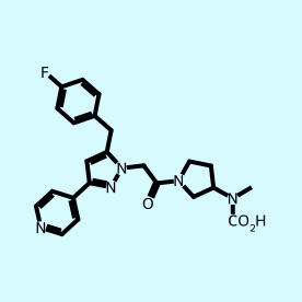 CN(C(=O)O)C1CCN(C(=O)Cn2nc(-c3ccncc3)cc2Cc2ccc(F)cc2)C1